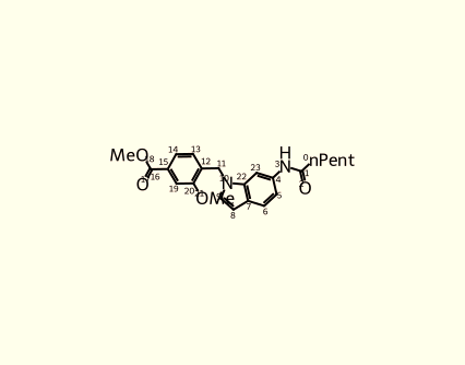 CCCCCC(=O)Nc1ccc2ccn(Cc3ccc(C(=O)OC)cc3OC)c2c1